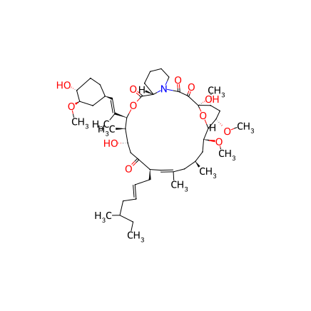 CCC(C)C/C=C/C[C@@H]1/C=C(\C)C[C@H](C)C[C@H](OC)[C@H]2O[C@@](O)(C(=O)C(=O)N3CCCC[C@H]3C(=O)O[C@H](/C(C)=C/[C@@H]3CC[C@@H](O)[C@H](OC)C3)[C@H](C)[C@@H](O)CC1=O)[C@H](C)C[C@@H]2OC